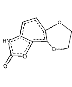 O=c1[nH]c2ccc3c(c2o1)OCCO3